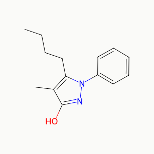 CCCCc1c(C)c(O)nn1-c1ccccc1